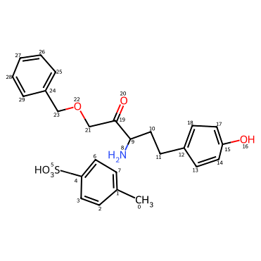 Cc1ccc(S(=O)(=O)O)cc1.NC(CCc1ccc(O)cc1)C(=O)COCc1ccccc1